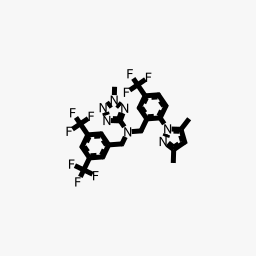 Cc1cc(C)n(-c2ccc(C(F)(F)F)cc2CN(Cc2cc(C(F)(F)F)cc(C(F)(F)F)c2)c2nnn(C)n2)n1